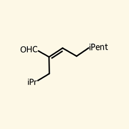 CCCC(C)CC=C(C=O)CC(C)C